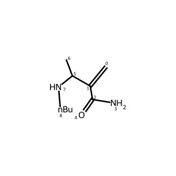 C=C(C(N)=O)C(C)NCCCC